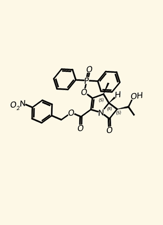 CC(O)[C@H]1C(=O)N2C(C(=O)OCc3ccc([N+](=O)[O-])cc3)=C(OP(=O)(c3ccccc3)c3ccccc3)[C@@H](C)[C@H]12